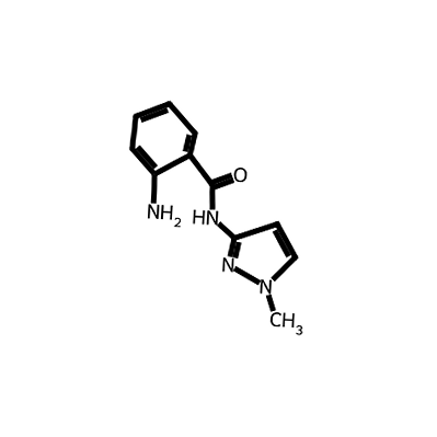 Cn1ccc(NC(=O)c2ccccc2N)n1